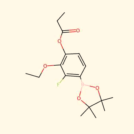 CCOc1c(OC(=O)CC)ccc(B2OC(C)(C)C(C)(C)O2)c1F